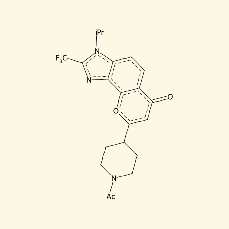 CC(=O)N1CCC(c2cc(=O)c3ccc4c(nc(C(F)(F)F)n4C(C)C)c3o2)CC1